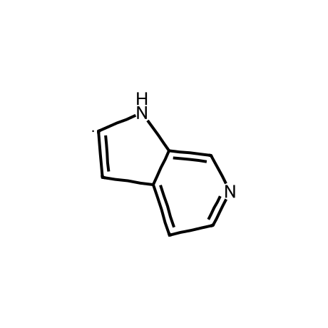 [c]1cc2ccncc2[nH]1